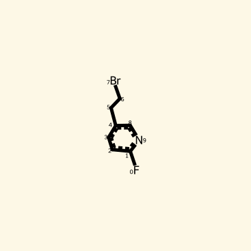 Fc1ccc(CCBr)cn1